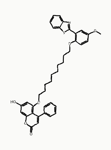 COc1ccc(OCCCCCCCCCCOc2cc(O)cc3oc(=O)cc(-c4ccccc4)c23)c(-c2nc3ccccc3s2)c1